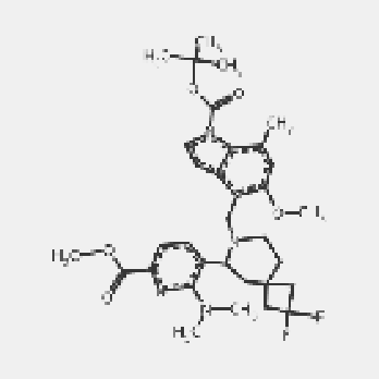 COC(=O)c1ccc(C2CC3(CCN2Cc2c(OC)cc(C)c4c2ccn4C(=O)OC(C)(C)C)CC(F)(F)C3)c(N(C)C)n1